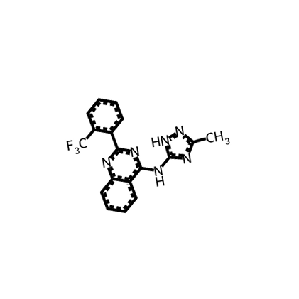 Cc1n[nH]c(Nc2nc(-c3ccccc3C(F)(F)F)nc3ccccc23)n1